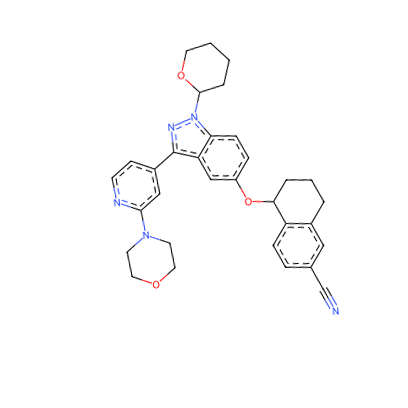 N#Cc1ccc2c(c1)CCCC2Oc1ccc2c(c1)c(-c1ccnc(N3CCOCC3)c1)nn2C1CCCCO1